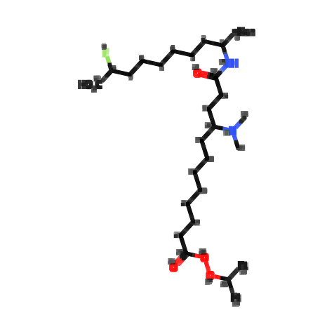 CCCCCCCCCC(CCCCCCC(F)C(=O)O)NC(=O)CCC(CCCCCCCC(=O)OOC(CC)CC)N(C)C